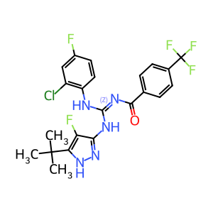 CC(C)(C)c1[nH]nc(N/C(=N\C(=O)c2ccc(C(F)(F)F)cc2)Nc2ccc(F)cc2Cl)c1F